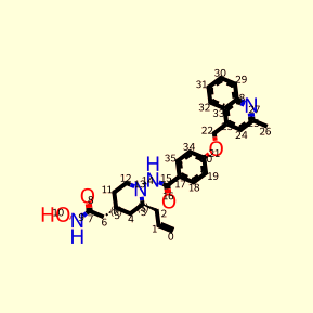 C=CC[C@H]1C[C@H](CC(=O)NO)CCN1NC(=O)c1ccc(OCc2cc(C)nc3ccccc23)cc1